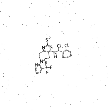 CSc1nc2c(c(NC(Cl)c3ccccc3Cl)n1)CCN(c1ncccc1C(F)(F)F)CC2